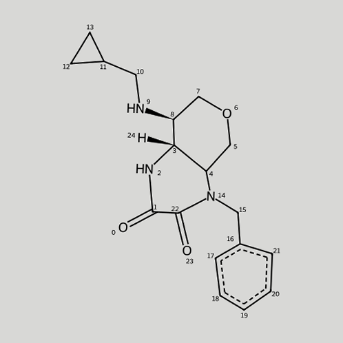 O=C1N[C@H]2C(COC[C@@H]2NCC2CC2)N(Cc2ccccc2)C1=O